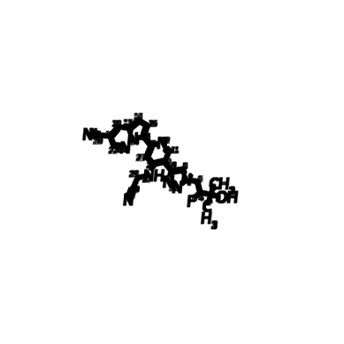 CC(C)(O)C(F)Cn1cc(-c2cnc(-c3ccc4cc(C#N)cnn34)cc2NCC#N)nn1